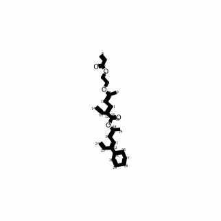 C=CC(=O)OCCO/C(C)=C/C=C(\C=C)C(=O)O/C(C)=C/C=C(\C=C)c1ccccc1